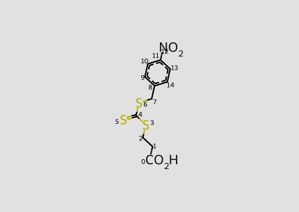 O=C(O)CCSC(=S)SCc1ccc([N+](=O)[O-])cc1